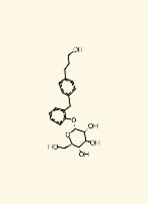 OCCCc1ccc(Cc2ccccc2O[C@H]2O[C@H](CO)[C@@H](O)[C@H](O)[C@H]2O)cc1